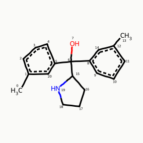 Cc1cccc(C(O)(c2cccc(C)c2)C2CCCN2)c1